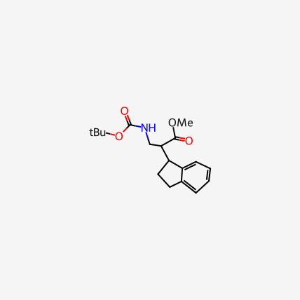 COC(=O)C(CNC(=O)OC(C)(C)C)C1CCc2ccccc21